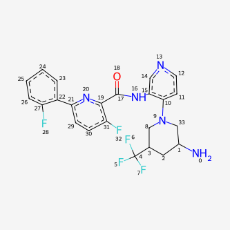 NC1CC(C(F)(F)F)CN(c2ccncc2NC(=O)c2nc(-c3ccccc3F)ccc2F)C1